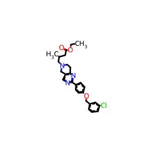 CCOC(=O)CC(C)CN1CCc2nc(-c3ccc(OCc4cccc(Cl)c4)cc3)ncc2C1